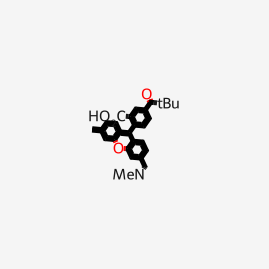 C=c1ccc2c(c1)Oc1cc(CNC)ccc1C=2c1ccc(C(=O)C(C)(C)C)cc1C(=O)O